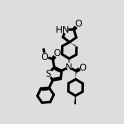 COC(=O)c1sc(C2=CCCCC2)cc1N(C(=O)[C@H]1CC[C@H](C)CC1)[C@H]1CC[C@]2(CC1)CNC(=O)C2